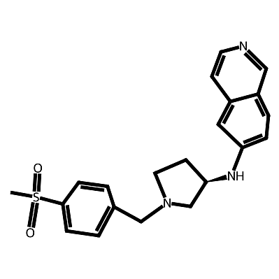 CS(=O)(=O)c1ccc(CN2CC[C@@H](Nc3ccc4cnccc4c3)C2)cc1